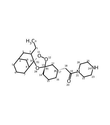 CCC1CC2CCCC(C2)[C@@]12OO[C@@]1(CCC[C@@H](CC(=O)N3CCNCC3)C1)O2